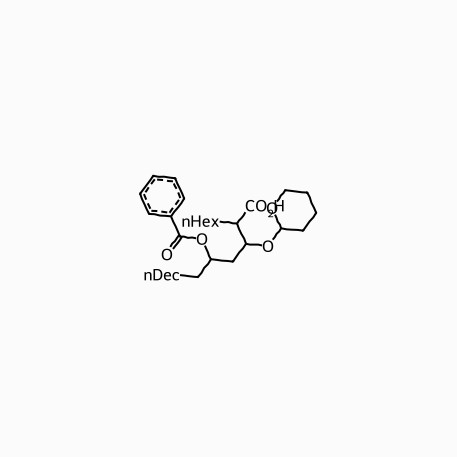 CCCCCCCCCCCC(CC(OC1CCCCO1)C(CCCCCC)C(=O)O)OC(=O)c1ccccc1